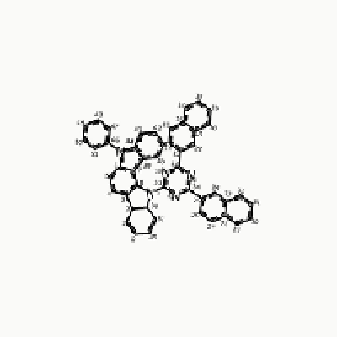 C1=CC2c3ccc4c(c3N(c3nc(-c5ccc6ccccc6c5)nc(-c5ccc6ccccc6c5)n3)C2C=C1)c1ccccc1n4-c1ccccc1